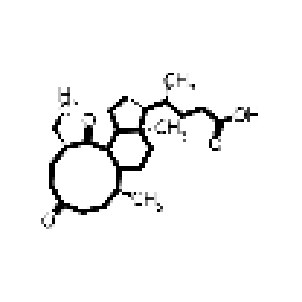 CC[C@@H]1CCC(=O)CC[C@H](C)C2CC[C@@]3(C)C(CC[C@@H]3[C@H](C)CCC(=O)O)C2C1=O